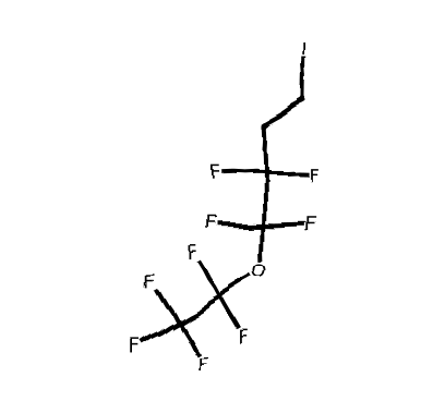 FC(F)(F)C(F)(F)OC(F)(F)C(F)(F)CCI